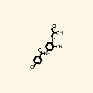 N#Cc1cc(NC(=O)c2ccc(Cl)cc2)ccc1OCC(O)CCl